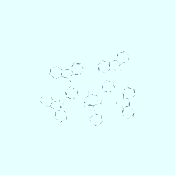 c1ccc(-c2nc(-c3cc(-c4cccc5c4oc4ccccc45)cc(-c4cccc5c4oc4ccccc45)c3)nc(-c3cc(-n4c5ccccc5c5ccccc54)cc(-n4c5ccccc5c5ccccc54)c3)n2)cc1